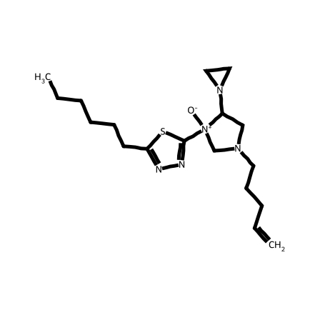 C=CCCCN1CC(N2CC2)[N+]([O-])(c2nnc(CCCCCC)s2)C1